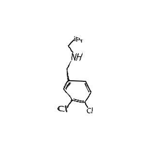 CC(C)CNCc1ccc(Cl)c(Cl)c1